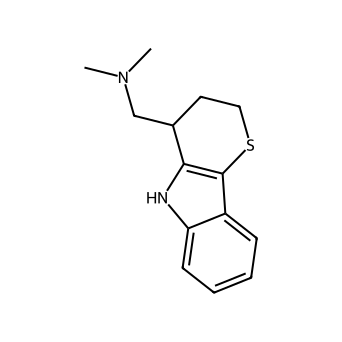 CN(C)CC1CCSc2c1[nH]c1ccccc21